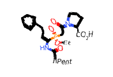 CCCCCC(=O)NC(CCc1ccccc1)P(=O)(CC(=O)N1CCC[C@H]1C(=O)O)OCC